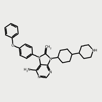 C=C1N(c2ccc(Oc3ccccc3)cc2)c2c(N)ncnc2N1C1CCC(C2CCNCC2)CC1